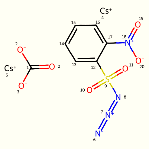 O=C([O-])[O-].[Cs+].[Cs+].[N-]=[N+]=NS(=O)(=O)c1ccccc1[N+](=O)[O-]